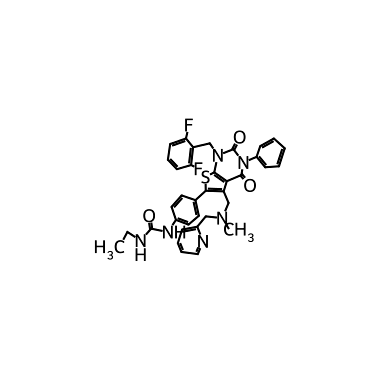 CCNC(=O)Nc1ccc(-c2sc3c(c2CN(C)Cc2ccccn2)c(=O)n(-c2ccccc2)c(=O)n3Cc2c(F)cccc2F)cc1